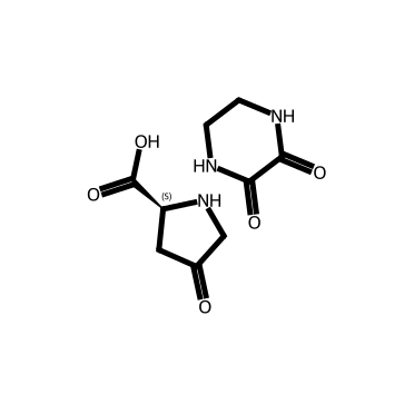 O=C1CN[C@H](C(=O)O)C1.O=C1NCCNC1=O